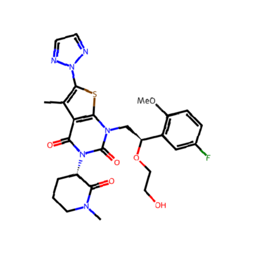 COc1ccc(F)cc1[C@H](Cn1c(=O)n([C@H]2CCCN(C)C2=O)c(=O)c2c(C)c(-n3nccn3)sc21)OCCO